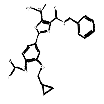 C[C@H](N)c1oc(-c2ccc(OC(F)F)c(OCC3CC3)c2)nc1C(=O)NCc1ccccc1